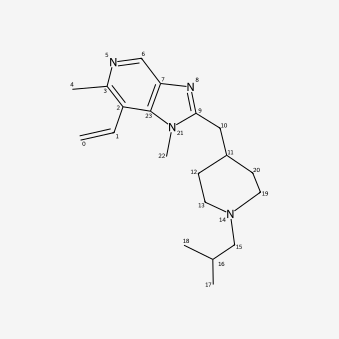 C=Cc1c(C)ncc2nc(CC3CCN(CC(C)C)CC3)n(C)c12